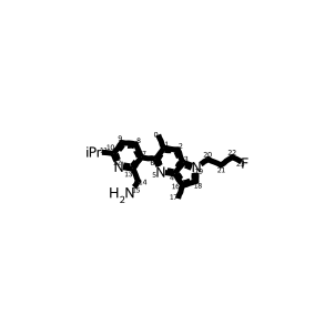 Cc1cc2c(nc1-c1ccc(C(C)C)nc1CN)c(C)cn2CCCF